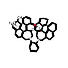 C/C=c1/ccc2c(/c1=C/C(C)C)/C(=c1\cccc\c1=C\C)[C@@H](C)CP(c1ccccc1P1Cc3ccc4c(c3C3=c5ccccc5=CCC3C1)=CCCC=4)C2